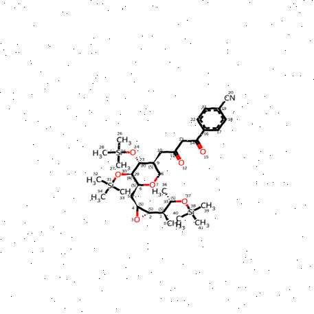 C[C@@H]([C@@H]1O[C@H]1C[C@@H]1OC[C@H](CC(=O)CC(=O)c2ccc(C#N)cc2)[C@@H](O[Si](C)(C)C)[C@@H]1O[Si](C)(C)C)[C@H](C)O[Si](C)(C)C